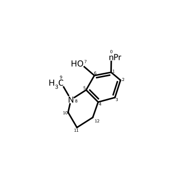 CCCc1ccc2c(c1O)N(C)CCC2